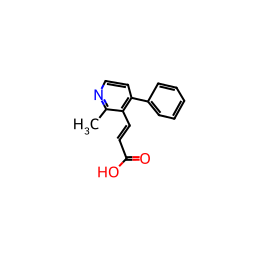 Cc1nccc(-c2ccccc2)c1C=CC(=O)O